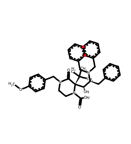 COc1ccc(CN2CCN(C(=O)O)[C@]([C@@H](O)[C@H](Cc3ccccc3)N(Cc3ccccc3)Cc3ccccc3)(C(C)(C)C)C2=O)cc1